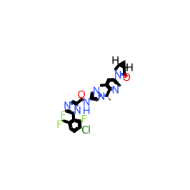 Cc1cc(N2C[C@H]3C[C@H]3C2=O)cnc1[C@H](C)n1cc(NC(=O)c2cncc(-c3c(C(F)F)ccc(Cl)c3F)n2)cn1